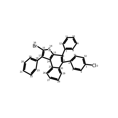 Clc1ccc(-c2c(-c3ccccc3)c3sc(Br)c(-c4ccccc4)c3c3ccccc23)cc1